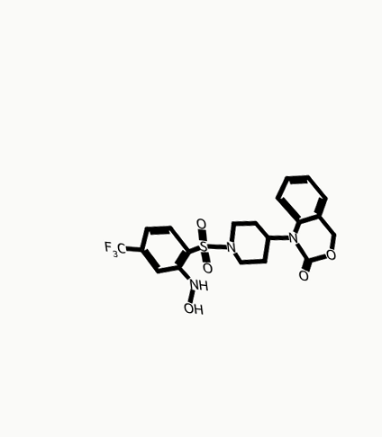 O=C1OCc2ccccc2N1C1CCN(S(=O)(=O)c2ccc(C(F)(F)F)cc2NO)CC1